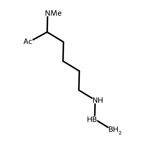 BBNCCCCC(NC)C(C)=O